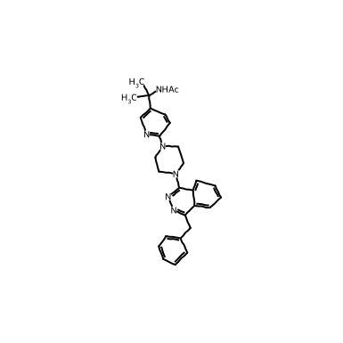 CC(=O)NC(C)(C)c1ccc(N2CCN(c3nnc(Cc4ccccc4)c4ccccc34)CC2)nc1